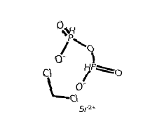 ClCCl.O=[PH]([O-])O[PH](=O)[O-].[Sr+2]